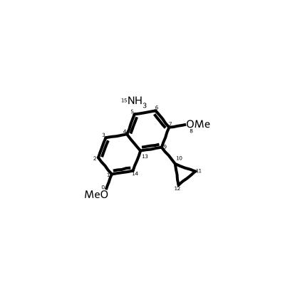 COc1ccc2ccc(OC)c(C3CC3)c2c1.N